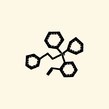 C=Cc1cccc[c]1[Sn]([CH2]Cc1ccccc1)([c]1ccccc1)[c]1ccccc1